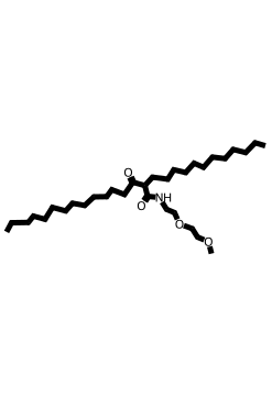 CCCCCCCCCCCCCC(=O)C(CCCCCCCCCCCC)C(=O)NCCOCCOC